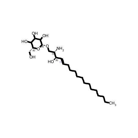 CCCCCCCCCCCCC/C=C/[C@@H](O)[C@@H](N)CO[C@@H]1O[C@H](CO)C(O)C(O)C1O